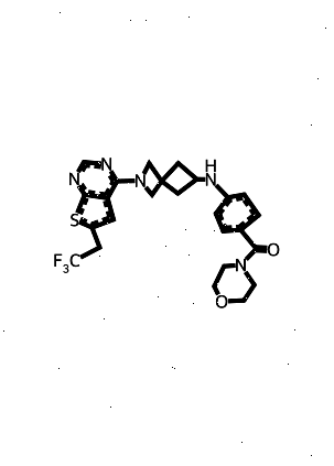 O=C(c1ccc(NC2CC3(C2)CN(c2ncnc4sc(CC(F)(F)F)cc24)C3)cc1)N1CCOCC1